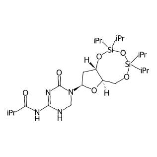 CC(C)C(=O)NC1=NC(=O)N([C@H]2C[C@@H]3O[Si](C(C)C)(C(C)C)O[Si](C(C)C)(C(C)C)OC[C@H]3O2)CN1